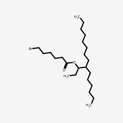 CCCCCCCCC(CCCCCC)C(CC)OC(=O)CCCCCBr